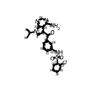 CC(C)n1cc(C(=O)c2cccc(NS(=O)(=O)c3ccccc3Cl)c2)c2c(N)ncnc21